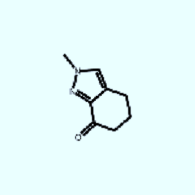 Cn1cc2c(n1)C(=O)CCC2